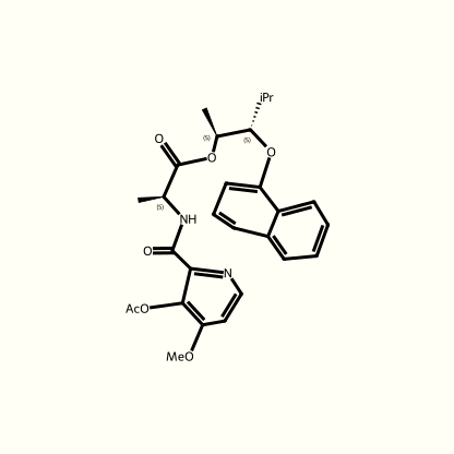 COc1ccnc(C(=O)N[C@@H](C)C(=O)O[C@@H](C)[C@@H](Oc2cccc3ccccc23)C(C)C)c1OC(C)=O